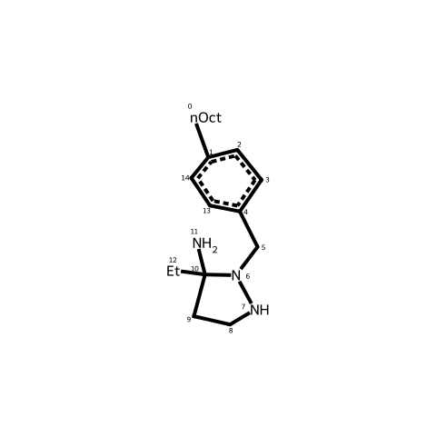 CCCCCCCCc1ccc(CN2NCCC2(N)CC)cc1